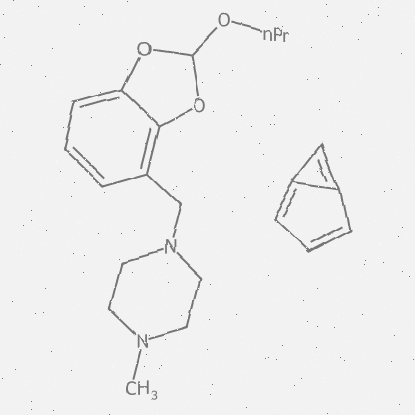 CCCOC1Oc2cccc(CN3CCN(C)CC3)c2O1.c1cc2cc-2c1